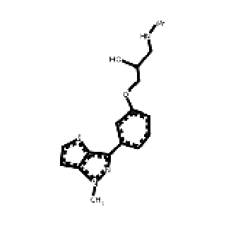 CC(C)NCC(O)COc1cccc(-c2nn(C)c3ccsc23)c1